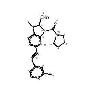 CN1c2cnc(/C=C/c3cccc(F)c3)nc2N(C(=O)N2CCCC2)C1C=O